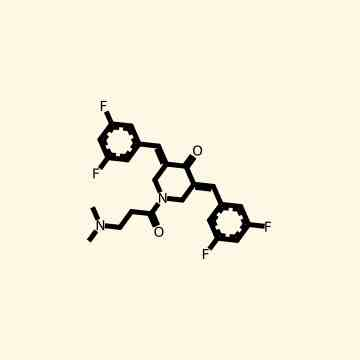 CN(C)CCC(=O)N1C/C(=C\c2cc(F)cc(F)c2)C(=O)/C(=C/c2cc(F)cc(F)c2)C1